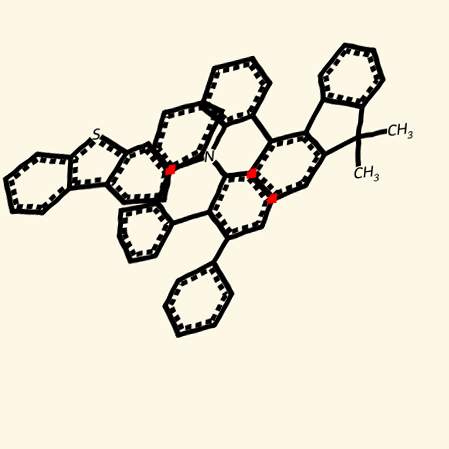 CC1(C)c2ccccc2-c2c(-c3ccccc3N(c3ccc4c(c3)sc3ccccc34)c3cccc(-c4ccccc4)c3-c3ccccc3-c3ccccc3)cccc21